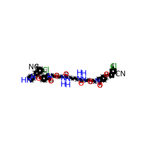 N#Cc1cc(Cl)cc2c1CC[C@H]2Oc1ccc2c(c1)CN(CCOCCNC(=O)NCCCCNC(=O)NCCOCCN1Cc3cc(O[C@H]4c5cc(Cl)cc(C#N)c5C[C@@H]4N4CCNCC4)ccc3C1=O)C2=O